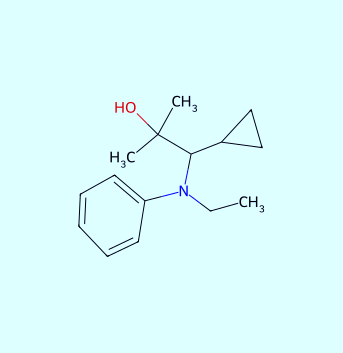 CCN(c1ccccc1)C(C1CC1)C(C)(C)O